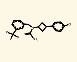 NC(=O)N(Cc1cccc(C(F)(F)F)c1)C1CC(c2ccc(Cl)cc2)C1